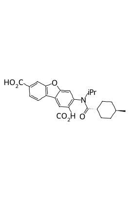 CC(C)N(c1cc2oc3cc(C(=O)O)ccc3c2cc1C(=O)O)C(=O)[C@H]1CC[C@H](C)CC1